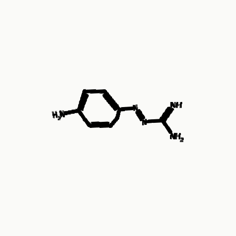 N=C(N)N=Nc1ccc(N)cc1